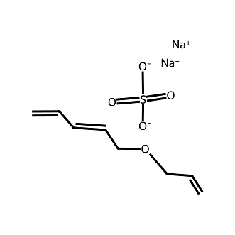 C=CC=CCOCC=C.O=S(=O)([O-])[O-].[Na+].[Na+]